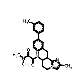 Cc1cccc(-c2cccc(CC3c4nc(C)cn4CCC3NC(=O)C(=O)N(C)C)c2)c1